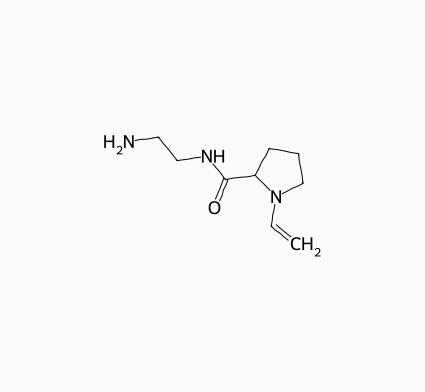 C=CN1CCCC1C(=O)NCCN